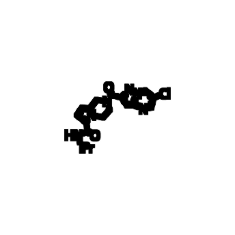 CC(C)NC(=O)c1ccc2n1CCN(C(=O)c1cc3ncc(Cl)cn3n1)C2